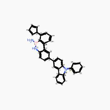 NB1Nc2ccc(-c3ccc4c(c3)c3ccccc3n4-c3ccccc3)cc2-c2cccc(C3C=CC=C3)c21